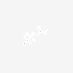 COC(=O)COS(=O)(=O)C(F)(F)F